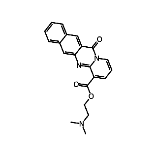 CN(C)CCOC(=O)c1cccn2c(=O)c3cc4ccccc4cc3nc12